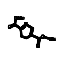 COC(=O)C1=NC=C(C(=O)OC(C)(C)C)CC1